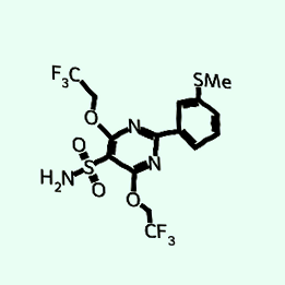 CSc1cccc(-c2nc(OCC(F)(F)F)c(S(N)(=O)=O)c(OCC(F)(F)F)n2)c1